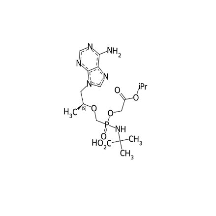 CC(C)OC(=O)COP(=O)(CO[C@@H](C)Cn1cnc2c(N)ncnc21)NC(C)(C)C(=O)O